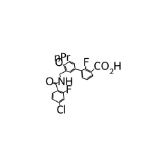 CCCOc1ccc(-c2cccc(C(=O)O)c2F)cc1CNC(=O)c1ccc(Cl)cc1F